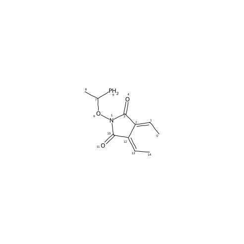 C/C=C1/C(=O)N(OC(C)P)C(=O)/C1=C/C